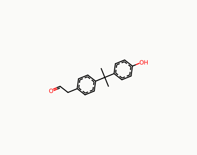 CC(C)(c1ccc(O)cc1)c1ccc(CC=O)cc1